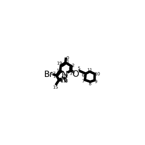 Cc1cc(OCC2CCCCC2)n2nc(C)c(Br)c2c1